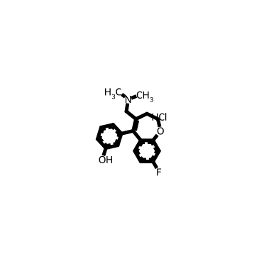 CN(C)CC1=C(c2cccc(O)c2)c2ccc(F)cc2OCC1.Cl